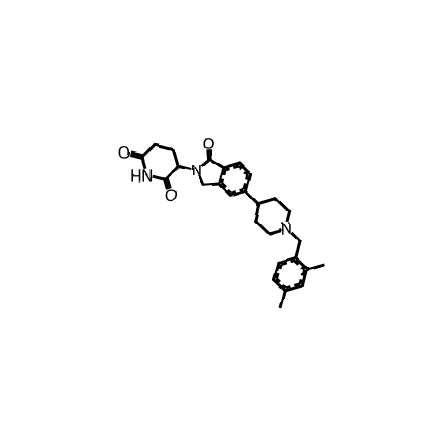 Cc1ccc(CN2CCC(c3ccc4c(c3)CN(C3CCC(=O)NC3=O)C4=O)CC2)c(C)c1